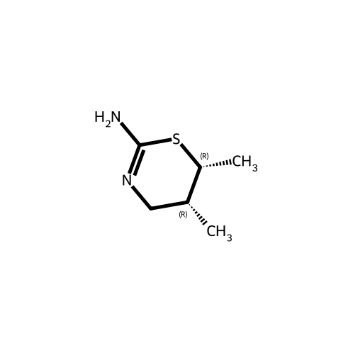 C[C@@H]1CN=C(N)S[C@@H]1C